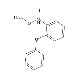 C[SiH](O[SiH3])c1ccccc1Oc1ccccc1